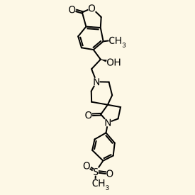 Cc1c([C@@H](O)CN2CCC3(CC2)CCN(c2ccc(S(C)(=O)=O)cc2)C3=O)ccc2c1COC2=O